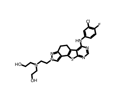 OCCN(CCO)CCn1cc2c(n1)CCc1c-2sc2ncnc(Nc3ccc(F)c(Cl)c3)c12